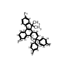 CC1(C)c2cc(F)ccc2-c2c1c1c(c3cc(F)ccc23)OC(c2ccc(F)cc2)(c2ccc(F)cc2)C=C1